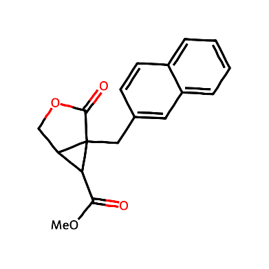 COC(=O)C1C2COC(=O)C21Cc1ccc2ccccc2c1